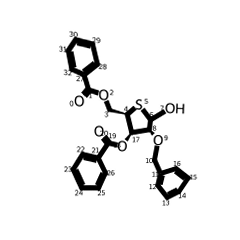 O=C(OC[C@H]1SC(O)[C@@H](OCc2ccccc2)[C@H]1OC(=O)c1ccccc1)c1ccccc1